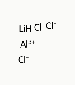 [Al+3].[Cl-].[Cl-].[Cl-].[LiH]